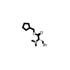 CC(C)C[C@@H](C(=O)OCC1CCCC1)N(C)C